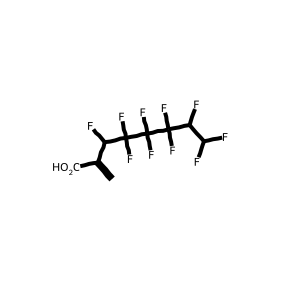 C=C(C(=O)O)C(F)C(F)(F)C(F)(F)C(F)(F)C(F)C(F)F